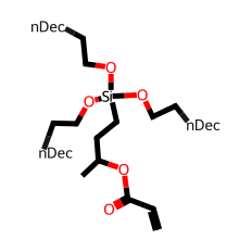 C=CC(=O)OC(C)CC[Si](OCCCCCCCCCCCC)(OCCCCCCCCCCCC)OCCCCCCCCCCCC